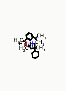 CC(C)c1cccc(C(C)C)c1N1CC(C)(C2CCCCC2)CC1(C)C